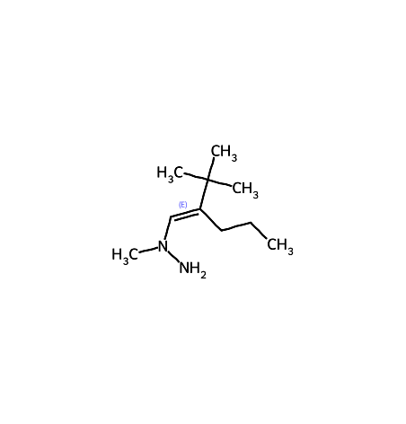 CCC/C(=C\N(C)N)C(C)(C)C